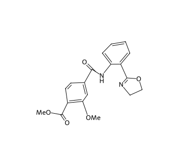 COC(=O)c1ccc(C(=O)Nc2ccccc2C2=NCCO2)cc1OC